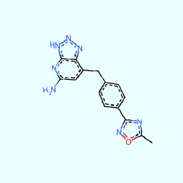 Cc1nc(-c2ccc(Cc3cc(N)nc4[nH]nnc34)cc2)no1